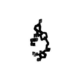 FC(F)(F)c1nc(NCCN2CCc3c([nH]c4ccc(Cl)cc34)C2)ccc1Cl.O=CO